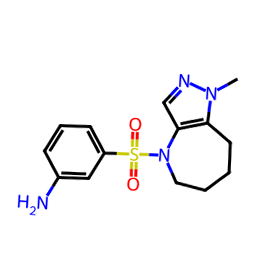 Cn1ncc2c1CCCCN2S(=O)(=O)c1cccc(N)c1